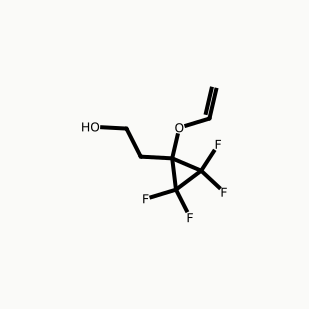 C=COC1(CCO)C(F)(F)C1(F)F